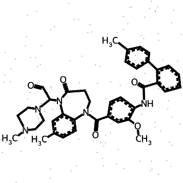 COc1cc(C(=O)N2CCC(=O)N(C(C=O)N3CCN(C)CC3)c3cc(C)ccc32)ccc1NC(=O)c1ccccc1-c1ccc(C)cc1